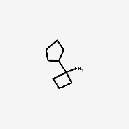 PC1(C2CCCC2)CCC1